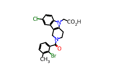 Cc1cccc(C(=O)N2CCc3c(c4cc(Cl)ccc4n3CC(=O)O)C2)c1Br